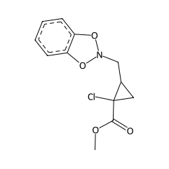 COC(=O)C1(Cl)CC1CN1Oc2ccccc2O1